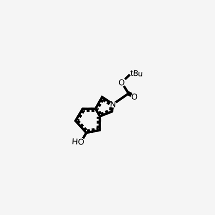 CC(C)(C)OC(=O)n1cc2ccc(O)cc2c1